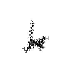 CCCCCCCCCCCCC[C@@H](CC(N)=O)OC(=O)[C@@H](CCCC(=O)O)NC(=O)OC(C)(C)C